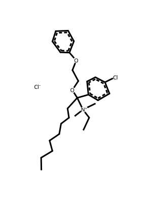 CCCCCCCCC(OCCOc1ccccc1)(c1ccc(Cl)cc1)[N+](C)(C)CC.[Cl-]